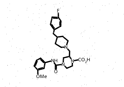 COc1cccc(NC(=O)N2CCN(C(=O)O)C(CN3CCC(Cc4ccc(F)cc4)CC3)C2)c1